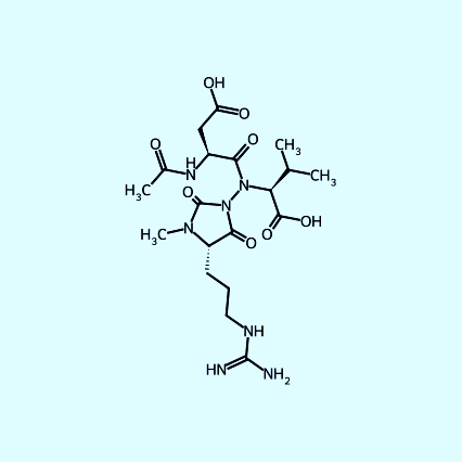 CC(=O)N[C@@H](CC(=O)O)C(=O)N([C@H](C(=O)O)C(C)C)N1C(=O)[C@H](CCCNC(=N)N)N(C)C1=O